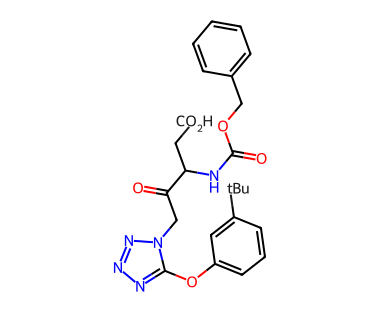 CC(C)(C)c1cccc(Oc2nnnn2CC(=O)C(CC(=O)O)NC(=O)OCc2ccccc2)c1